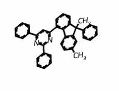 Cc1ccc2c(c1)C(C)(c1ccccc1)c1cccc(-c3cc(-c4ccccc4)nc(-c4ccccc4)n3)c1-2